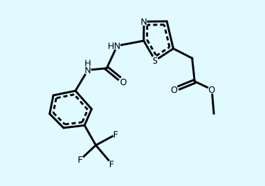 COC(=O)Cc1cnc(NC(=O)Nc2cccc(C(F)(F)F)c2)s1